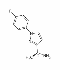 C[C@H](N)c1ccn(-c2ccc(F)cc2)n1